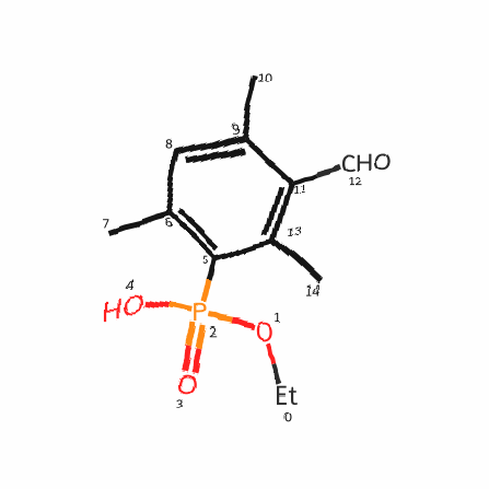 CCOP(=O)(O)c1c(C)cc(C)c(C=O)c1C